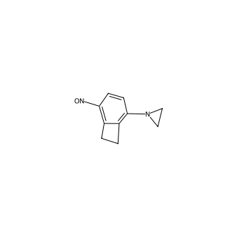 O=Nc1ccc(N2CC2)c2c1CC2